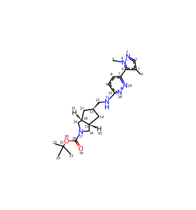 Cc1cnn(C)c1-c1ccc(NC[C@H]2C[C@@H]3CN(C(=O)OC(C)(C)C)C[C@@H]3C2)nn1